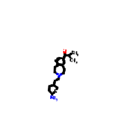 CC(C)C(=O)c1ccc2c(c1)CCN(CCC1CCC(N)CC1)CC2